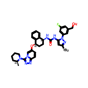 C[C@H]1CCCCN1c1nnc2ccc(O[C@@H]3CC[C@H](NC(=O)Nc4cc(C(C)(C)C)nn4-c4cc(F)cc(CO)c4)c4ccccc43)cn12